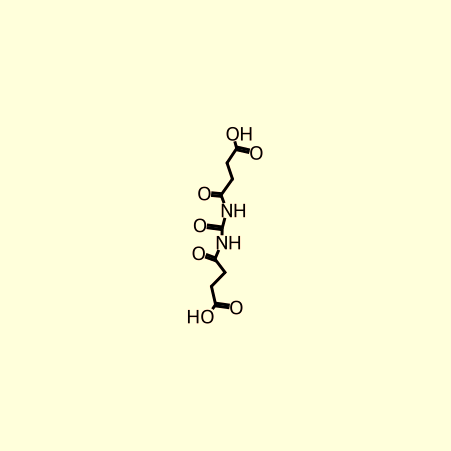 O=C(O)CCC(=O)NC(=O)NC(=O)CCC(=O)O